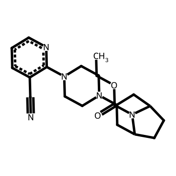 CCOC(=O)N1C2CCC1CC(N1CCN(c3ncccc3C#N)CC1)C2